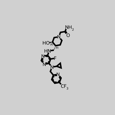 NC(=O)CN1CC[C@H](CNc2ncnc(N(Cc3ccc(C(F)(F)F)cn3)C3CC3)c2F)[C@@H](O)C1